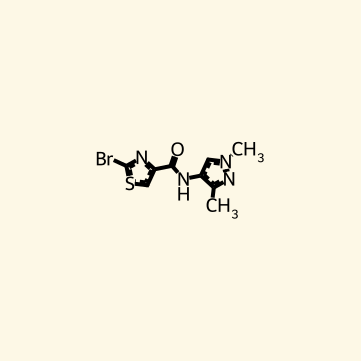 Cc1nn(C)cc1NC(=O)c1csc(Br)n1